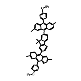 Cc1ccc2c(-c3ccc4c(c3)C(C)(C)c3cc(-c5c6ccc(C)cc6c(-c6ccc(OC(C)C)cc6)c6ccc(C)cc56)ccc3-4)c3cc(C)ccc3c(-c3ccc(OC(C)C)cc3)c2c1